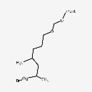 CCCCCOCOCCCC(C)C[CH](C)[Mg][Br]